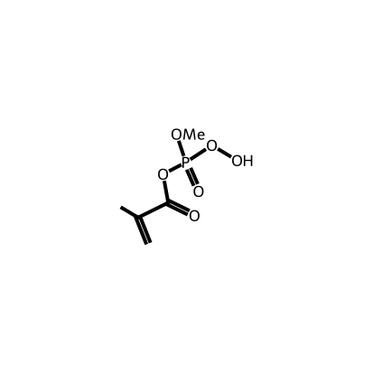 C=C(C)C(=O)OP(=O)(OC)OO